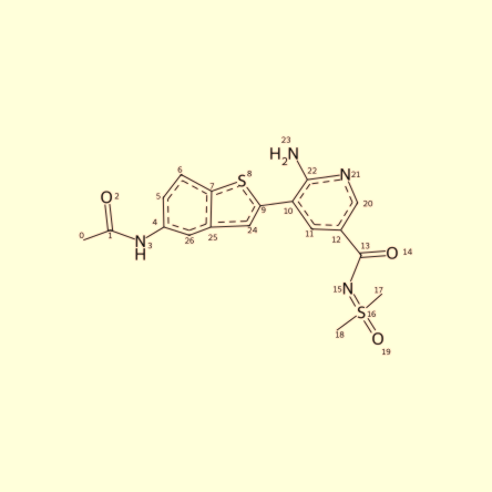 CC(=O)Nc1ccc2sc(-c3cc(C(=O)N=S(C)(C)=O)cnc3N)cc2c1